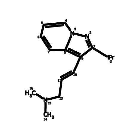 CC(C)c1nn2ccccc2c1C=CCN(C)C